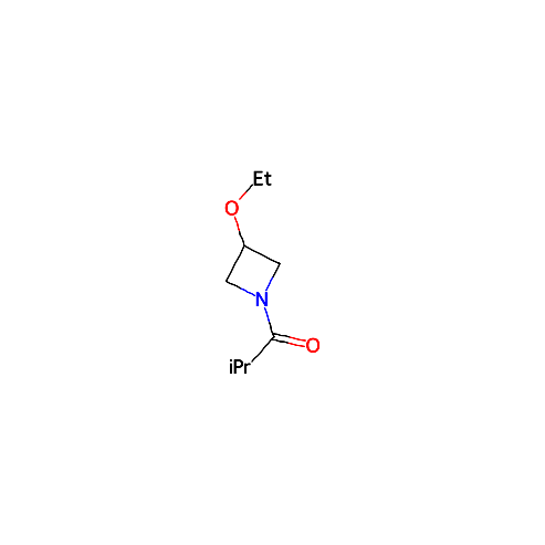 CCOC1CN(C(=O)C(C)C)C1